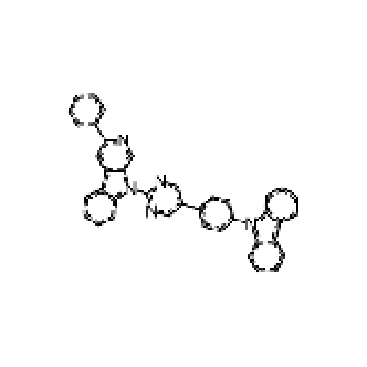 c1ccc(-c2cc3c4ccccc4n(-c4ncc(-c5ccc(-n6c7ccccc7c7ccccc76)cc5)cn4)c3cn2)cc1